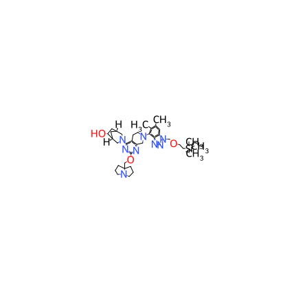 Cc1cc2c(nnn2COCC[Si](C)(C)C)c(N2CCc3c(nc(OCC45CCCN4CCC5)nc3N3C[C@@H]4C[C@H](C3)[C@H](O)C4)C2)c1C